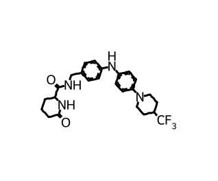 O=C1CCCC(C(=O)NCc2ccc(Nc3ccc(N4CCC(C(F)(F)F)CC4)cc3)cc2)N1